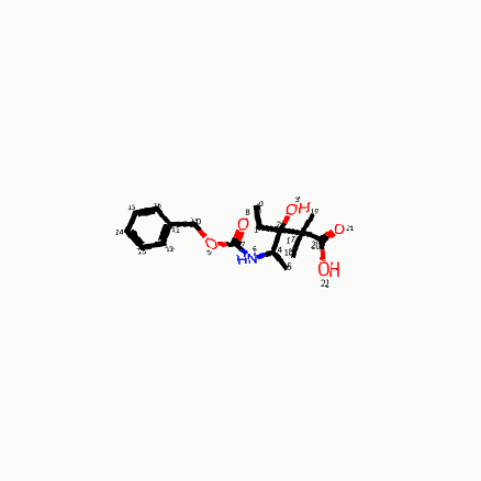 CCC(O)(C(C)NC(=O)OCc1ccccc1)C(C)(C)C(=O)O